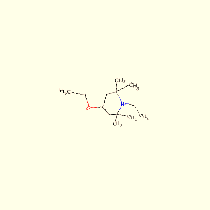 CCOC1CC(C)(C)N(CC)C(C)(C)C1